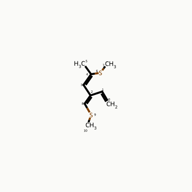 C=CC(/C=C(/C)SC)=C\SC